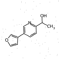 CC(O)c1ccc(-c2ccoc2)cn1